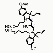 [C-]#[N+]c1ccc2c(c1)C(C)(CC=C)C(/C=C(C#N)/C=C1\N(CCCC(=O)O)c3ccc(OC)cc3C1(C)CC=C)=[N+]2CCCOC=O